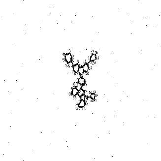 c1ccc(-c2ccc3c(c2)c2cc(-c4ccccc4)ccc2n3-c2ccc3c(c2)Oc2cccc4c2c-3cc2c4c3ccccc3n2-c2ccccc2)cc1